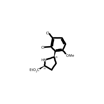 CCOC(=O)[C@@H]1CC[C@H](c2c(OC)ccc(Cl)c2Cl)N1